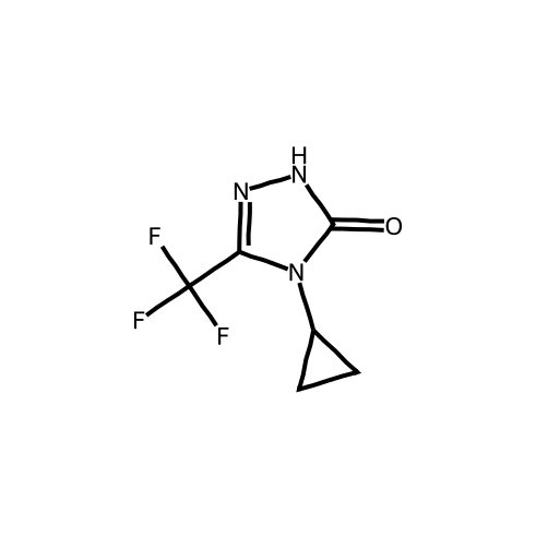 O=c1[nH]nc(C(F)(F)F)n1C1CC1